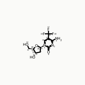 Nc1nc(=O)n([C@H]2C[C@H](O)[C@@H](CO)O2)cc1C(F)(F)F